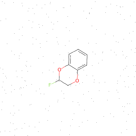 F[C]1COc2ccccc2O1